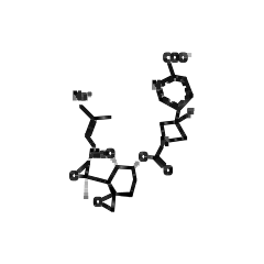 CO[C@@H]1[C@H](OC(=O)N2CC(F)(c3ccc(C(=O)[O-])nc3)C2)CC[C@]2(CO2)[C@H]1[C@@]1(C)O[C@@H]1CC=C(C)C.[Na+]